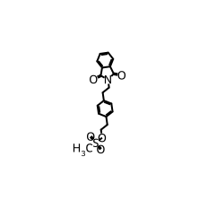 CS(=O)(=O)OCCc1ccc(CCN2C(=O)c3ccccc3C2=O)cc1